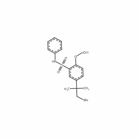 CCCCCCCCOc1ccc(C(C)(C)CC(C)(C)C)cc1S(=O)(=O)Nc1[c]cccc1